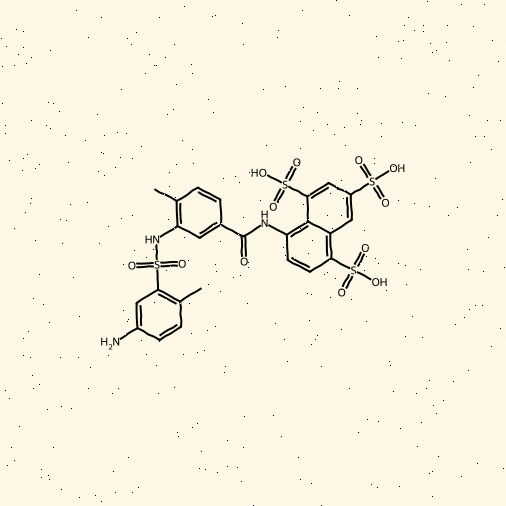 Cc1ccc(C(=O)Nc2ccc(S(=O)(=O)O)c3cc(S(=O)(=O)O)cc(S(=O)(=O)O)c23)cc1NS(=O)(=O)c1cc(N)ccc1C